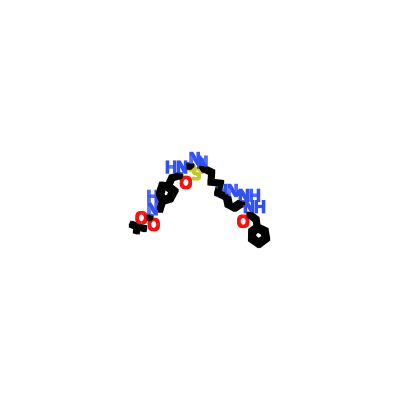 CC(C)(C)OC(=O)NCc1ccc(CC(=O)Nc2nnc(CCCCC3=CC=C(NC(=O)Cc4ccccc4)NN3)s2)cc1